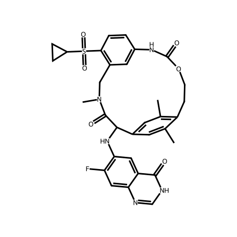 Cc1cc2cc(C)c1CCOC(=O)Nc1ccc(S(=O)(=O)C3CC3)c(c1)CN(C)C(=O)C2Nc1cc2c(=O)[nH]cnc2cc1F